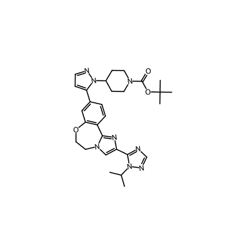 CC(C)n1ncnc1-c1cn2c(n1)-c1ccc(-c3ccnn3C3CCN(C(=O)OC(C)(C)C)CC3)cc1OCC2